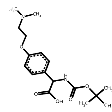 CN(C)CCOc1ccc(C(NC(=O)OC(C)(C)C)C(=O)O)cc1